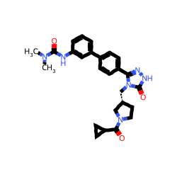 CN(C)C(=O)Nc1cccc(-c2ccc(-c3n[nH]c(=O)n3C[C@@H]3CCN(C(=O)C4CC4)C3)cc2)c1